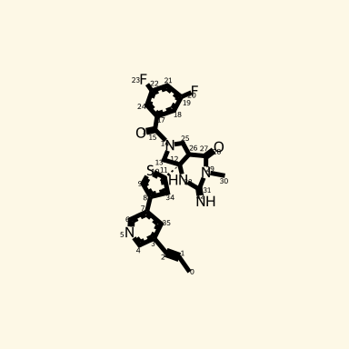 CC#Cc1cncc(-c2csc([C@]34CN(C(=O)c5cc(F)cc(F)c5)CC3C(=O)N(C)C(=N)N4)c2)c1